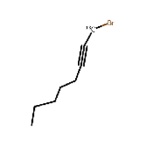 CCCCCC#C[13CH2]Br